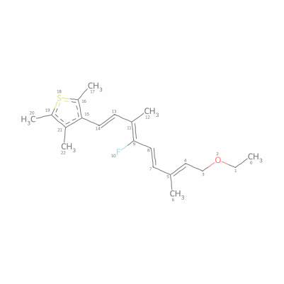 CCOCC=C(C)C=CC(F)=C(C)C=Cc1c(C)sc(C)c1C